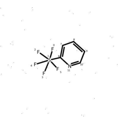 FS(F)(F)(F)(F)c1ccccn1